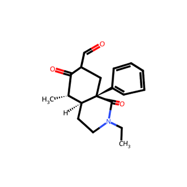 CCN1CC[C@H]2[C@H](C)C(=O)C(C=O)C[C@]2(c2ccccc2)C1=O